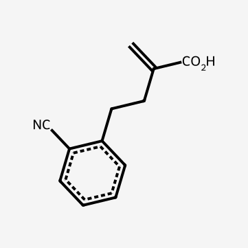 C=C(CCc1ccccc1C#N)C(=O)O